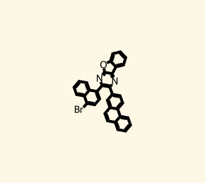 Brc1ccc(-c2nc3oc4ccccc4c3nc2-c2ccc3c(ccc4ccccc43)c2)c2ccccc12